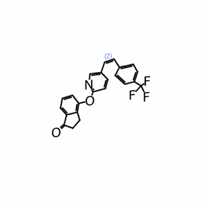 O=C1CCc2c(Oc3ccc(/C=C\c4ccc(C(F)(F)F)cc4)cn3)cccc21